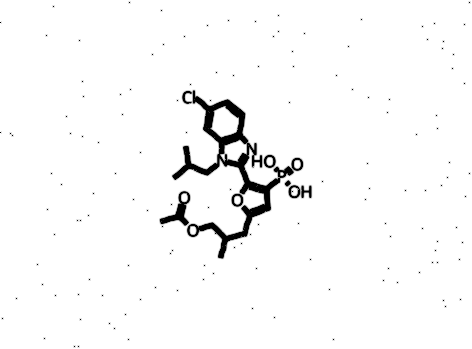 CC(=O)OCC(C)Cc1cc(P(=O)(O)O)c(-c2nc3ccc(Cl)cc3n2CC(C)C)o1